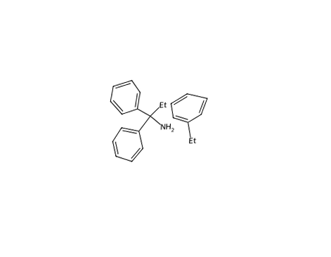 CCC(N)(c1ccccc1)c1ccccc1.CCc1ccccc1